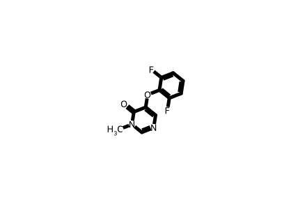 Cn1cncc(Oc2c(F)cccc2F)c1=O